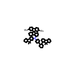 CC(C)(C)c1ccc2c(c1)C1(c3cc(C(C)(C)C)ccc3-2)c2ccccc2-c2c(N(c3ccc(-c4ccccc4-c4cccc5c4C(C)(C)c4ccccc4-5)cc3)c3ccc4c(c3)C(C)(C)c3ccccc3-4)cccc21